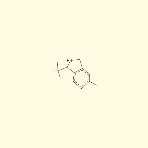 Cc1ccc2c(c1)CNC2C(C)(C)C